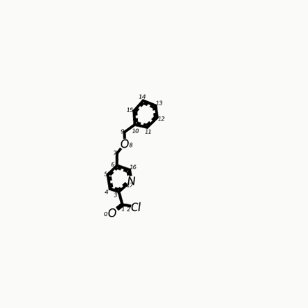 O=C(Cl)c1ccc(COCc2ccccc2)cn1